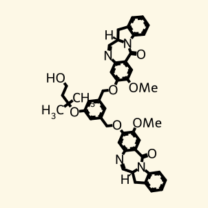 COc1cc2c(cc1OCc1cc(COc3cc4c(cc3OC)C(=O)N3c5ccccc5C[C@H]3C=N4)cc(OC(C)(C)CCO)c1)N=C[C@@H]1Cc3ccccc3N1C2=O